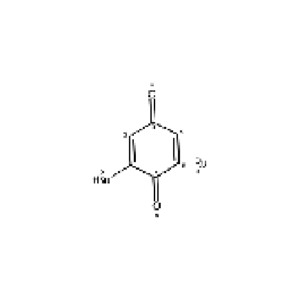 CC(C)(C)C1=CC(=O)C=CC1=O.[Ru]